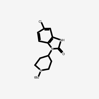 CC(C)(C)N1CCC(n2c(=O)[nH]c3cc(Cl)ccc32)CC1